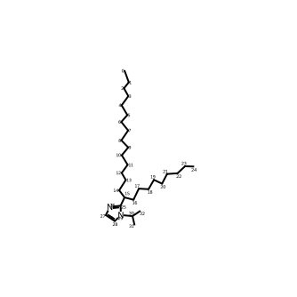 CCCCCCCCCCCCCCCC(CCCCCCCCC)c1nccn1C(C)C